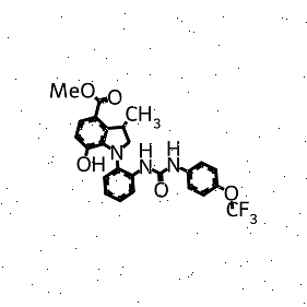 COC(=O)c1ccc(O)c2c1C(C)CN2c1ccccc1NC(=O)Nc1ccc(OC(F)(F)F)cc1